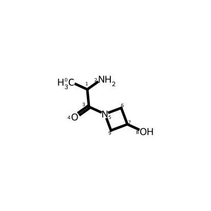 CC(N)C(=O)N1CC(O)C1